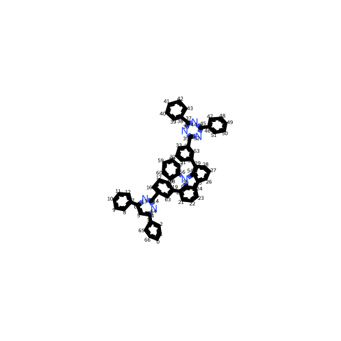 c1ccc(-c2cc(-c3ccccc3)nc(-c3cccc(-c4cccc5c6cccc(-c7cccc(-c8nc(-c9ccccc9)nc(-c9ccccc9)n8)c7)c6n(-c6ccccc6)c45)c3)n2)cc1